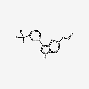 O=COc1ccc2[nH]nc(-c3cccc(C(F)(F)F)c3)c2c1